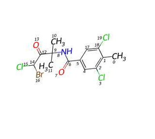 Cc1c(Cl)cc(C(=O)NC(C)(C)C(=O)C(Cl)Br)cc1Cl